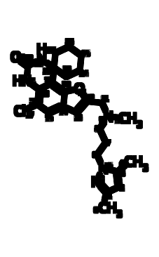 Cc1cc(C)n(CCCN(C)Cc2cc3cc(Cl)c4c(c3o2)C2(CCCCC2)NC(=O)N4)n1